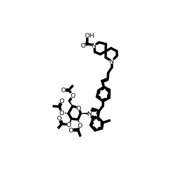 CC(=O)OC[C@H]1O[C@@H](n2cc(Cc3ccc(C=CCCN4CCCC5(CCN(C(=O)O)CC5)C4)cc3)c3c(C)cccc32)[C@H](OC(C)=O)[C@@H](OC(C)=O)[C@@H]1OC(C)=O